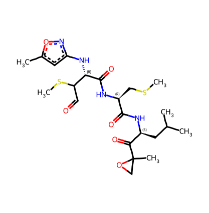 CSC[C@H](NC(=O)[C@@H](Nc1cc(C)on1)C(C=O)SC)C(=O)N[C@@H](CC(C)C)C(=O)C1(C)CO1